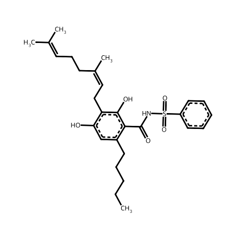 CCCCCc1cc(O)c(CC=C(C)CCC=C(C)C)c(O)c1C(=O)NS(=O)(=O)c1ccccc1